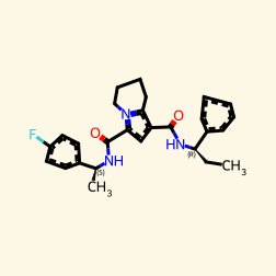 CC[C@@H](NC(=O)c1cc(C(=O)N[C@@H](C)c2ccc(F)cc2)n2c1CCCC2)c1ccccc1